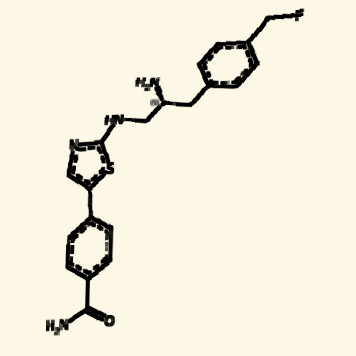 NC(=O)c1ccc(-c2cnc(NC[C@@H](N)Cc3ccc(CF)cc3)s2)cc1